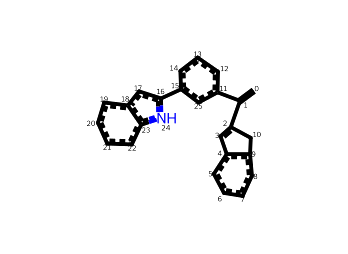 C=C(C1=Cc2ccccc2C1)c1cccc(-c2cc3ccccc3[nH]2)c1